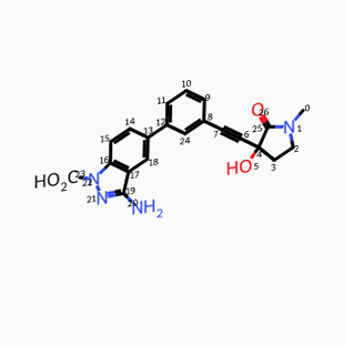 CN1CCC(O)(C#Cc2cccc(-c3ccc4c(c3)c(N)nn4C(=O)O)c2)C1=O